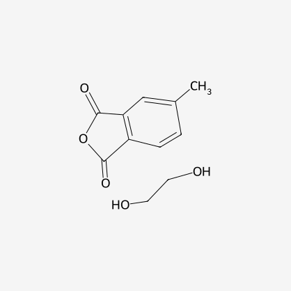 Cc1ccc2c(c1)C(=O)OC2=O.OCCO